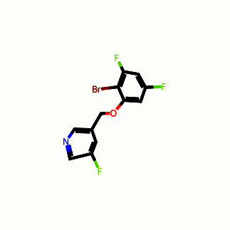 Fc1cncc(COc2cc(F)cc(F)c2Br)c1